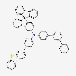 c1ccc(-c2cccc(-c3ccc(N(c4ccc(-c5ccc6c(c5)sc5ccccc56)cc4)c4ccc(C5(c6ccccc6)c6ccccc6-c6ccccc65)cc4)cc3)c2)cc1